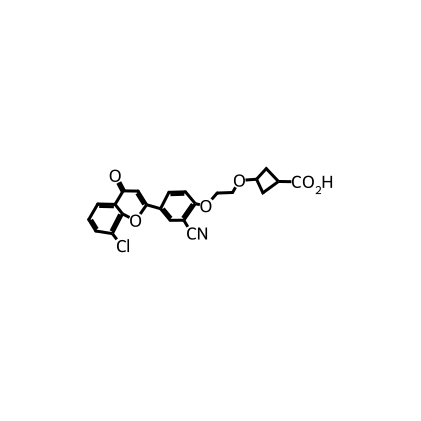 N#Cc1cc(-c2cc(=O)c3cccc(Cl)c3o2)ccc1OCCOC1CC(C(=O)O)C1